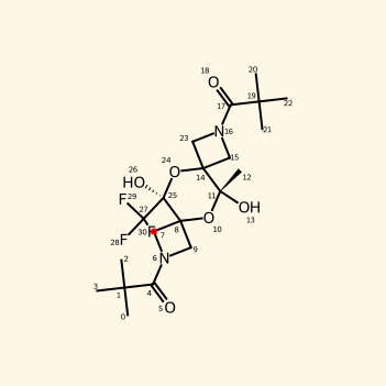 CC(C)(C)C(=O)N1CC2(C1)O[C@@](C)(O)C1(CN(C(=O)C(C)(C)C)C1)O[C@]2(O)C(F)(F)F